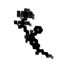 C=CCOC(=O)c1cc2cc(C(F)(F)P(=O)(NCc3ccccc3)OCCSC(=O)C(C)(C)CO[Si](C)(C)C(C)(C)C)ccc2s1